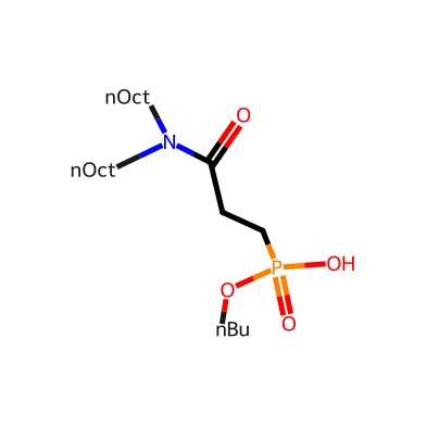 CCCCCCCCN(CCCCCCCC)C(=O)CCP(=O)(O)OCCCC